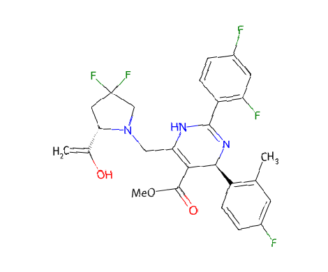 C=C(O)[C@@H]1CC(F)(F)CN1CC1=C(C(=O)OC)[C@H](c2ccc(F)cc2C)N=C(c2ccc(F)cc2F)N1